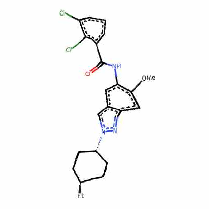 CC[C@H]1CC[C@H](n2cc3cc(NC(=O)c4cccc(Cl)c4Cl)c(OC)cc3n2)CC1